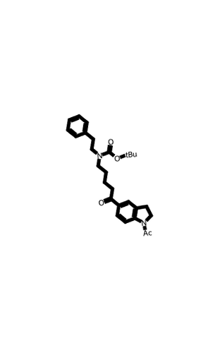 CC(=O)N1CCc2cc(C(=O)CCCCN(CCc3ccccc3)C(=O)OC(C)(C)C)ccc21